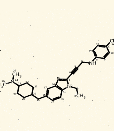 CCn1c(C#CCNc2ccc(Cl)cc2)cc2cc(CC3CCC(N(C)C)CC3)ccc21